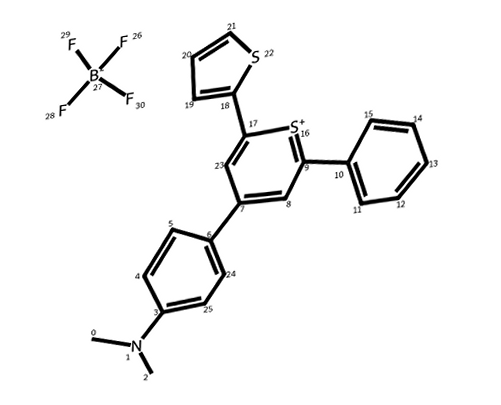 CN(C)c1ccc(-c2cc(-c3ccccc3)[s+]c(-c3cccs3)c2)cc1.F[B-](F)(F)F